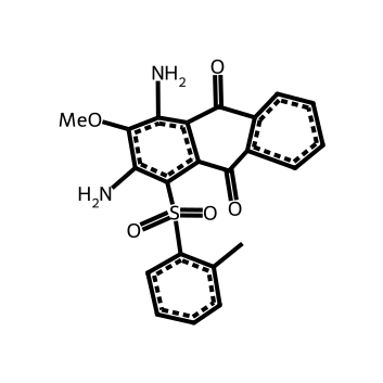 COc1c(N)c2c(c(S(=O)(=O)c3ccccc3C)c1N)C(=O)c1ccccc1C2=O